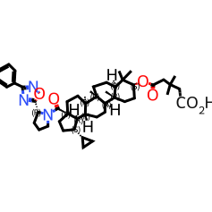 CC(C)(CC(=O)O)CC(=O)O[C@H]1CC[C@]2(C)[C@H]3CC[C@@H]4[C@H]5[C@H](C6CC6)CC[C@]5(C(=O)N5CCC[C@@H]5c5nc(-c6ccccc6)no5)CC[C@@]4(C)[C@]3(C)CC[C@H]2C1(C)C